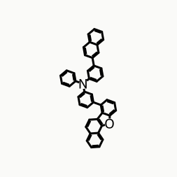 c1ccc(N(c2cccc(-c3ccc4ccccc4c3)c2)c2cccc(-c3cccc4oc5c6ccccc6ccc5c34)c2)cc1